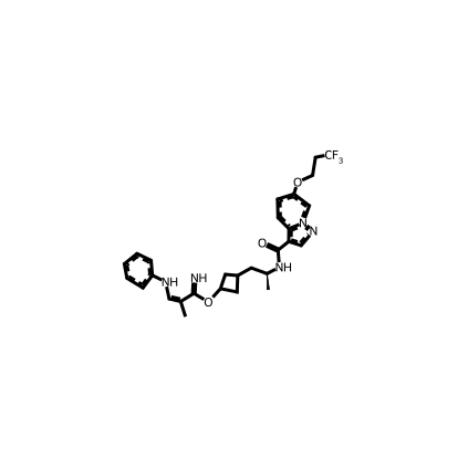 C/C(=C/Nc1ccccc1)C(=N)OC1CC(C[C@H](C)NC(=O)c2cnn3cc(OCCC(F)(F)F)ccc23)C1